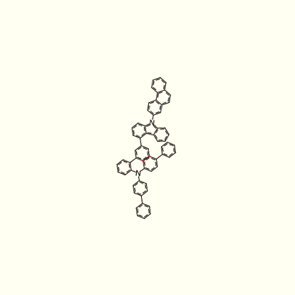 c1ccc(-c2ccc(N(c3ccc(-c4ccccc4)cc3)c3ccccc3-c3cccc(-c4cccc5c4c4ccccc4n5-c4ccc5c(ccc6ccccc65)c4)c3)cc2)cc1